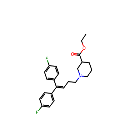 CCOC(=O)C1CCCN(CCC=C(c2ccc(F)cc2)c2ccc(F)cc2)C1